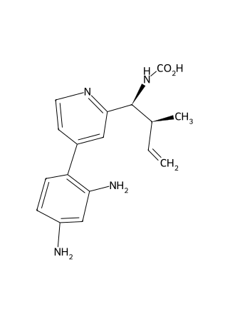 C=C[C@H](C)[C@H](NC(=O)O)c1cc(-c2ccc(N)cc2N)ccn1